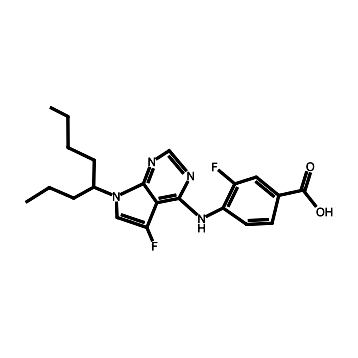 CCCCC(CCC)n1cc(F)c2c(Nc3ccc(C(=O)O)cc3F)ncnc21